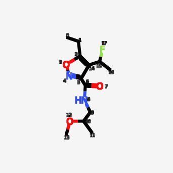 CCc1onc(C(=O)NCC(C)OC)c1C(C)F